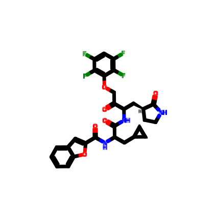 O=C(NC(CC1CC1)C(=O)NC(C[C@@H]1CCNC1=O)C(=O)COc1c(F)c(F)cc(F)c1F)c1cc2ccccc2o1